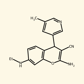 CCNc1ccc2c(c1)OC(N)=C(C#N)C2c1cncc(C)c1